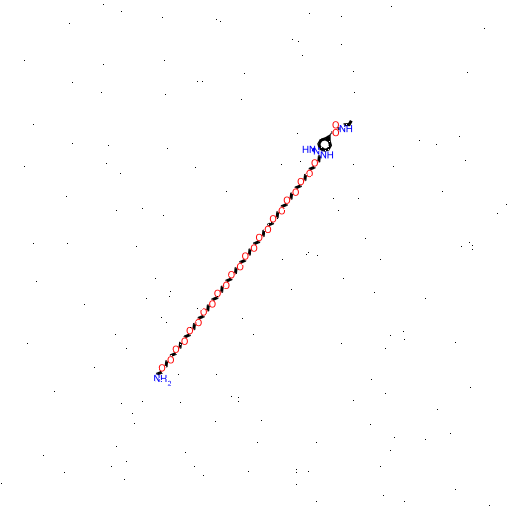 CCCNC(=O)OC[C@H]1C2CC/C(N=N)=C(/NCCOCCOCCOCCOCCOCCOCCOCCOCCOCCOCCOCCOCCOCCOCCOCCOCCOCCOCCOCCOCCOCCOCCOCCN)CCC21